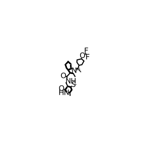 CSc1cc(C)[nH]c(=O)c1CNC(=O)c1c(C)n([C@H](C)C2CCC(OC(F)F)CC2)c2ccccc12